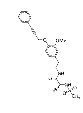 COc1cc(CCNC(=O)[C@@H](NS(C)(=O)=O)C(C)C)ccc1OCC#Cc1ccccc1